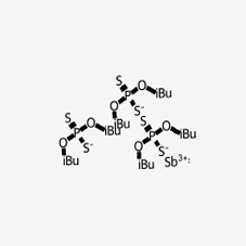 CCC(C)OP(=S)([S-])OC(C)CC.CCC(C)OP(=S)([S-])OC(C)CC.CCC(C)OP(=S)([S-])OC(C)CC.[Sb+3]